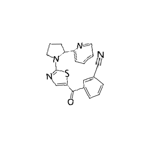 N#Cc1cccc(C(=O)c2cnc(N3CCCC3c3ccccn3)s2)c1